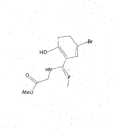 COC(=O)CN/C(=P\C)C1=C(O)CCC(Br)=C1